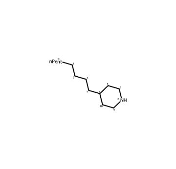 CCCCCCCCCC1CCNCC1